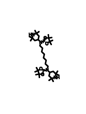 CC1(C)CC(N(CCCCCCCCN(C2CC(C)(C)NC(C)(C)C2)P2OC(C)(C)C(C)(C)O2)P2OC(C)(C)C(C)(C)O2)CC(C)(C)N1